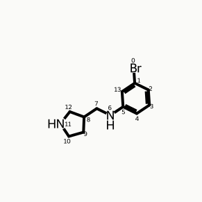 Brc1cccc(NCC2CCNC2)c1